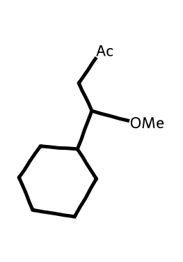 COC(CC(C)=O)C1CCCCC1